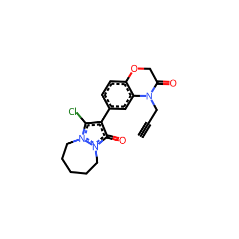 C#CCN1C(=O)COc2ccc(-c3c(Cl)n4n(c3=O)CCCCC4)cc21